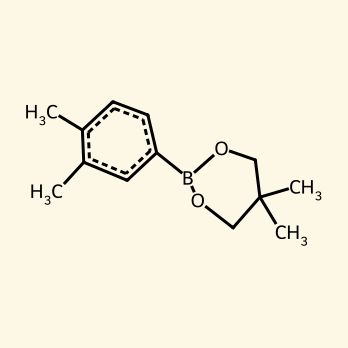 Cc1ccc(B2OCC(C)(C)CO2)cc1C